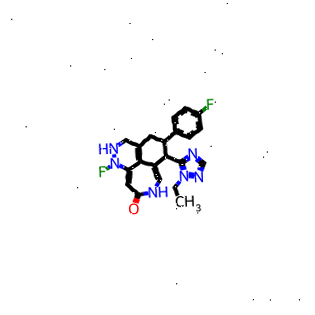 CCn1ncnc1C1C2=CNC(=O)C=C3C2=C(CNN3F)CC1c1ccc(F)cc1